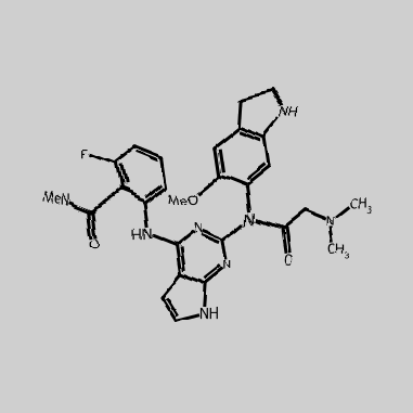 CNC(=O)c1c(F)cccc1Nc1nc(N(C(=O)CN(C)C)c2cc3c(cc2OC)CCN3)nc2[nH]ccc12